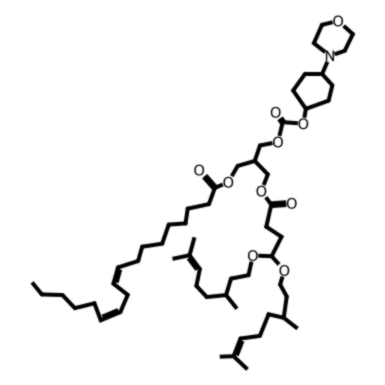 CCCCC/C=C\C/C=C\CCCCCCCC(=O)OCC(COC(=O)CCC(OCCC(C)CCC=C(C)C)OCCC(C)CCC=C(C)C)COC(=O)OC1CCC(N2CCOCC2)CC1